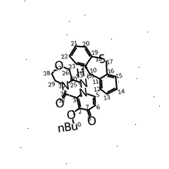 CCCCOc1c2n(ccc1=O)N([C@H]1c3ccccc3CSc3ccccc31)[C@@H]1COCCN1C2=O